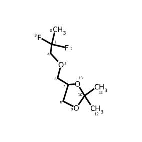 CC(F)(F)COCC1COC(C)(C)O1